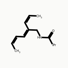 C\C=C/C=C(\C=C/C)CNC(=O)C(C)C